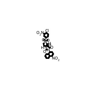 O=C1[C@H]2[C@@H]3C[C@@H](CN3S(=O)(=O)c3ccc(Cl)c([N+](=O)[O-])c3)N2C(=O)N1c1ccc([N+](=O)[O-])c2ccccc12